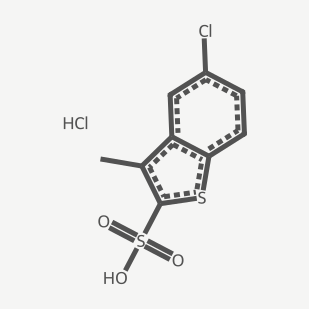 Cc1c(S(=O)(=O)O)sc2ccc(Cl)cc12.Cl